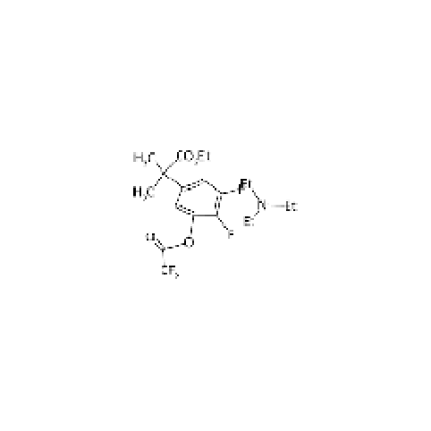 CCN(CC)CC.CCOC(=O)C(C)(C)c1cc(F)c(F)c(OC(=O)C(F)(F)F)c1